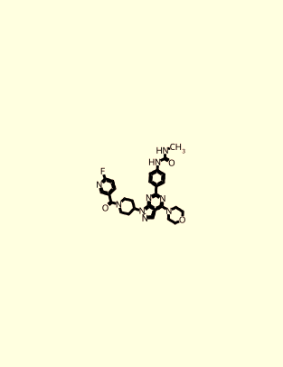 CNC(=O)Nc1ccc(-c2nc(N3CCOCC3)c3cnn(C4CCN(C(=O)c5ccc(F)nc5)CC4)c3n2)cc1